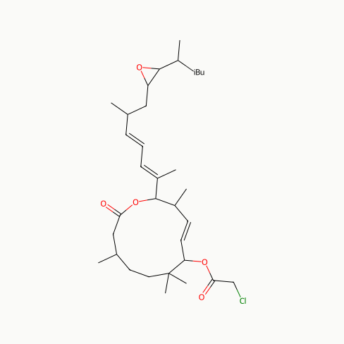 CCC(C)C(C)C1OC1CC(C)/C=C/C=C(\C)C1OC(=O)CC(C)CCC(C)(C)C(OC(=O)CCl)/C=C/C1C